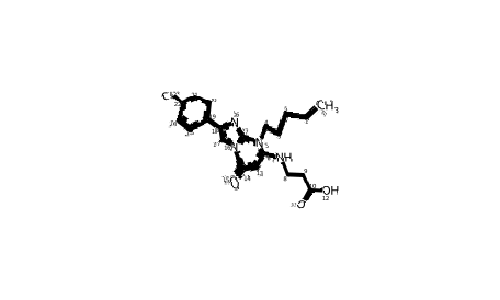 CCCCCn1c(NCCC(=O)O)cc(=O)n2cc(-c3ccc(Cl)cc3)nc12